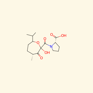 CC(C)C1CC[C@@H](C)C(=O)C(O)(C(=O)N2CCC[C@H]2C(=O)O)O1